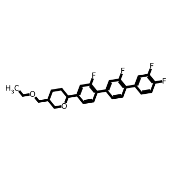 CCOCC1CCC(c2ccc(-c3ccc(-c4ccc(F)c(F)c4)c(F)c3)c(F)c2)OC1